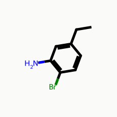 CCc1ccc(Br)c(N)c1